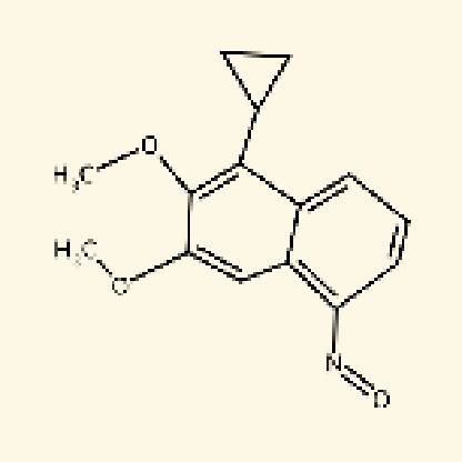 COc1cc2c(N=O)cccc2c(C2CC2)c1OC